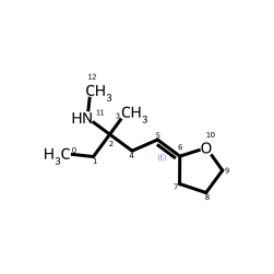 CCC(C)(C/C=C1\CCCO1)NC